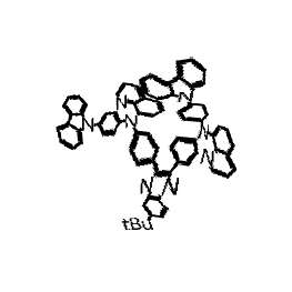 CC(C)(C)c1ccc2nc(-c3ccc(N(c4ccc(-n5c6ccccc6c6ccccc65)cc4)c4cccc5cccnc45)cc3)c(-c3ccc(N(c4ccc(-n5c6ccccc6c6ccccc65)cc4)c4cccc5cccnc45)cc3)nc2c1